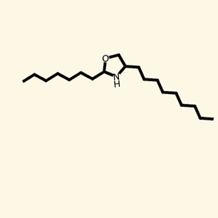 CCCCCCCCCC1COC(CCCCCCC)N1